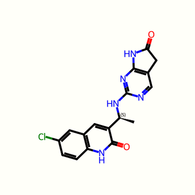 C[C@H](Nc1ncc2c(n1)NC(=O)C2)c1cc2cc(Cl)ccc2[nH]c1=O